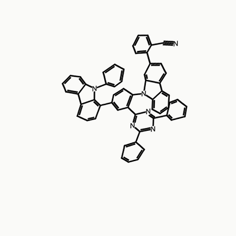 N#Cc1ccccc1-c1ccc2c3ccccc3n(-c3ccc(-c4cccc5c6ccccc6n(-c6ccccc6)c45)cc3-c3nc(-c4ccccc4)nc(-c4ccccc4)n3)c2c1